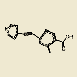 Cc1cc(C#Cc2ccncc2)ccc1C(=O)O